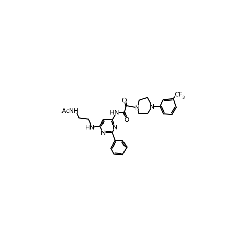 CC(=O)NCCNc1cc(NC(=O)C(=O)N2CCN(c3cccc(C(F)(F)F)c3)CC2)nc(-c2ccccc2)n1